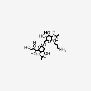 CC(=O)NC1[C@@H](OCCCN)OC(CO[C@]2(C)C[C@@H](O)[C@@H](NC(C)=O)C([C@H](O)[C@H](O)CO)O2)[C@H](O)[C@@H]1O